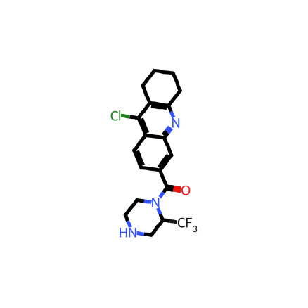 O=C(c1ccc2c(Cl)c3c(nc2c1)CCCC3)N1CCNCC1C(F)(F)F